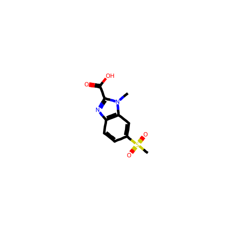 Cn1c(C(=O)O)nc2ccc(S(C)(=O)=O)cc21